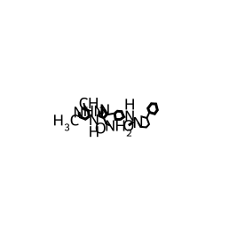 Cc1cc(Nc2[nH]nc(-c3ccc(NC(=O)N4CCCC(c5ccccc5)C4)cc3)c2C(N)=O)cc(C)n1